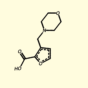 O=C(O)c1occc1CN1CCOCC1